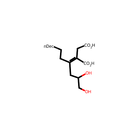 CCCCCCCCCCCCC(CC(O)CO)=C(CC(=O)O)C(=O)O